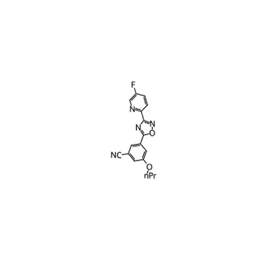 CCCOc1cc(C#N)cc(-c2nc(-c3ccc(F)cn3)no2)c1